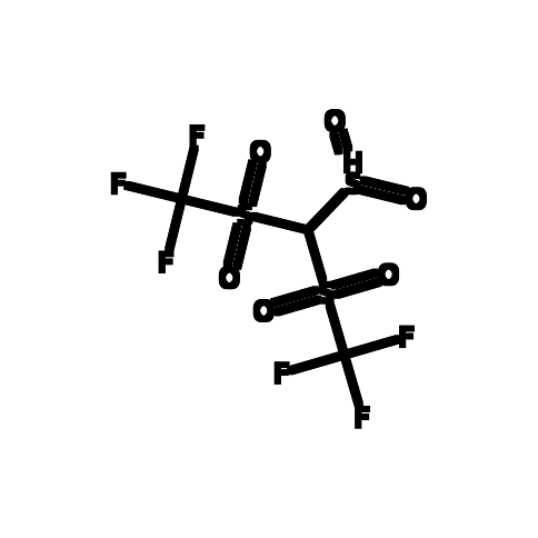 O=[SH](=O)C(S(=O)(=O)C(F)(F)F)S(=O)(=O)C(F)(F)F